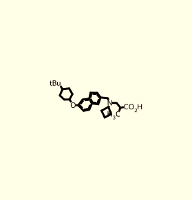 CC(CN(Cc1ccc2cc(OC3CCC(C(C)(C)C)CC3)ccc2c1)C1CCC1)C(=O)O